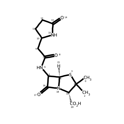 CC1(C)S[C@@H]2C(NC(=O)CC3CCC(=O)N3)C(=O)N2[C@H]1C(=O)O